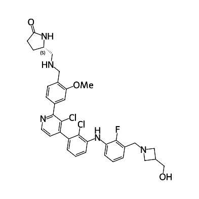 COc1cc(-c2nccc(-c3cccc(Nc4cccc(CN5CC(CO)C5)c4F)c3Cl)c2Cl)ccc1CNC[C@@H]1CCC(=O)N1